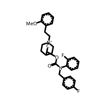 COc1ccccc1CC[N+]12CCC(CC1)C(OC(=O)N(Cc1ccc(F)cc1)c1ccccc1F)C2